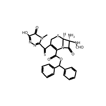 Cn1c(C(=S)C2=C(C(=O)OC(c3ccccc3)c3ccccc3)N3C(=O)[C@](N)(NC=O)[C@@H]3SC2)nnc(O)c1=O